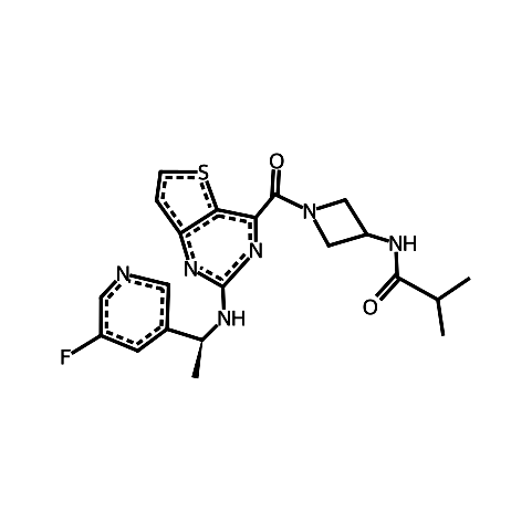 CC(C)C(=O)NC1CN(C(=O)c2nc(N[C@@H](C)c3cncc(F)c3)nc3ccsc23)C1